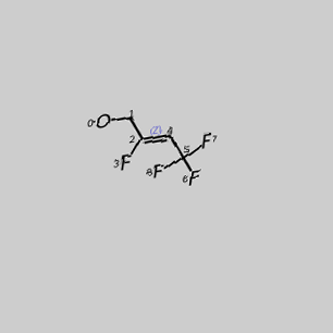 [O]C/C(F)=C/C(F)(F)F